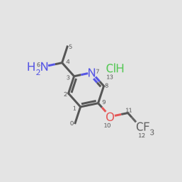 Cc1cc(C(C)N)ncc1OCC(F)(F)F.Cl